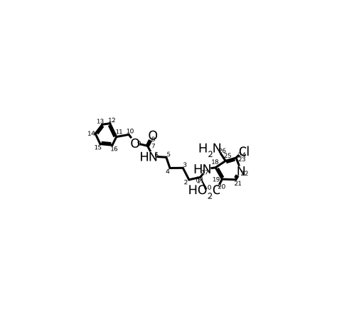 C[C@@H](CCCCNC(=O)OCc1ccccc1)Nc1c(C(=O)O)cnc(Cl)c1N